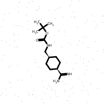 CC(C)(C)OC(=O)NC[C@H]1CC[C@@H](C(=N)N)CC1